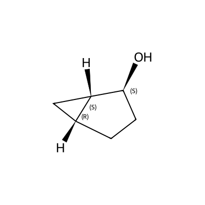 O[C@H]1CC[C@@H]2C[C@@H]21